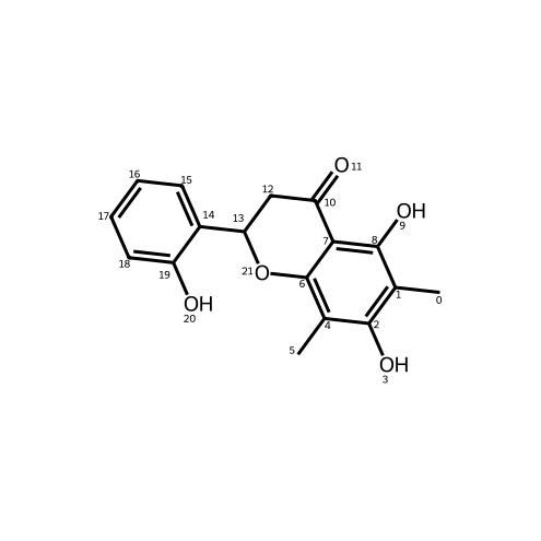 Cc1c(O)c(C)c2c(c1O)C(=O)CC(c1ccccc1O)O2